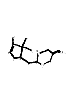 CC1=CCC(CC2OCC(=O)CO2)C1(C)C